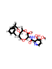 COc1ccnc(C(=O)N[C@H]2COC[C@H](Cc3ccccc3)C(OCC(C)C)C(C)OC2=O)c1O